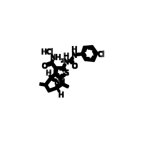 CC1c2sc(NC(=O)Nc3ccc(Cl)cc3)c(C(N)=O)c2[C@@H]2N[C@H]1CC2C.Cl